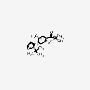 C[C@@H]1CN(C(=O)[C@@](C)(O)C(F)(F)F)CC[C@@H]1c1ccnn1C(C)(C)C(F)(F)F